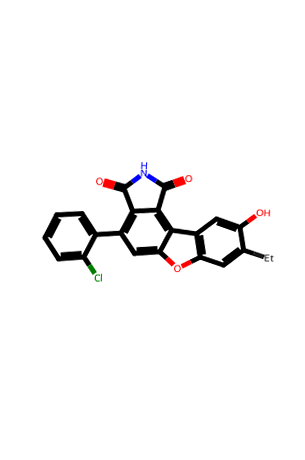 CCc1cc2oc3cc(-c4ccccc4Cl)c4c(c3c2cc1O)C(=O)NC4=O